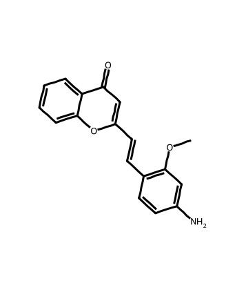 COc1cc(N)ccc1C=Cc1cc(=O)c2ccccc2o1